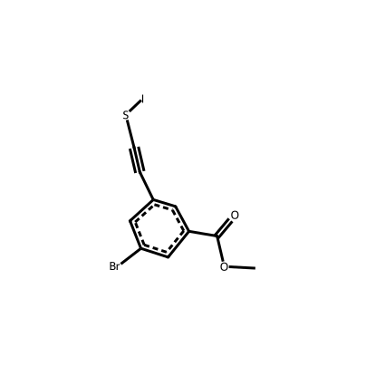 COC(=O)c1cc(Br)cc(C#CSI)c1